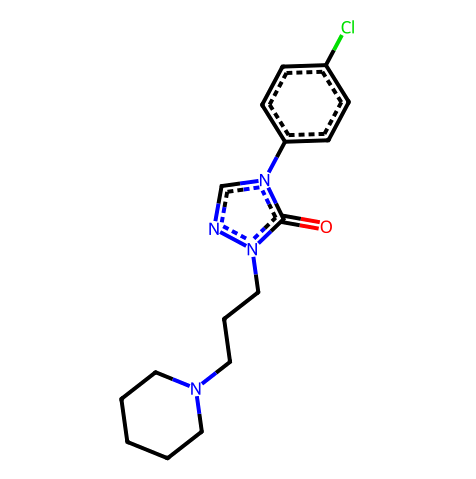 O=c1n(-c2ccc(Cl)cc2)cnn1CCCN1CCCCC1